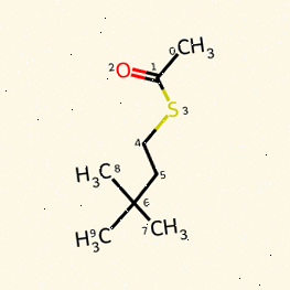 CC(=O)SCCC(C)(C)C